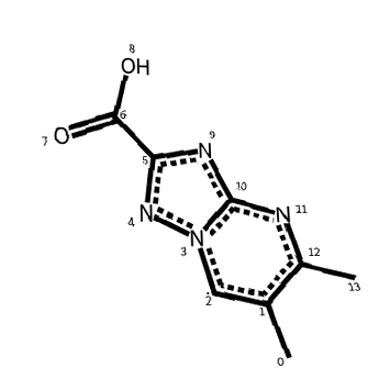 Cc1[c]n2nc(C(=O)O)nc2nc1C